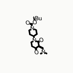 CN(C)/C=C1\C(=O)CCN(C2CCN(C(=O)OC(C)(C)C)CC2)C1=O